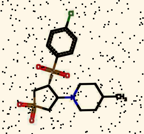 CC1CCN(C2CS(=O)(=O)C[C@@H]2S(=O)(=O)c2ccc(Cl)cc2)CC1